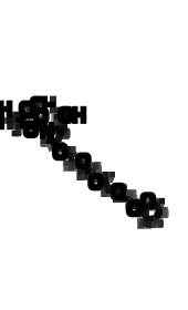 CC(C)(C)OC(=O)N1C[C@H](OCCOCCOCCOCCOC2CCCCO2)C[C@H]1CO